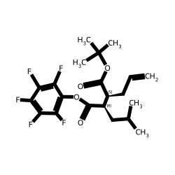 C=CC[C@H](C(=O)OC(C)(C)C)[C@@H](CC(C)C)C(=O)Oc1c(F)c(F)c(F)c(F)c1F